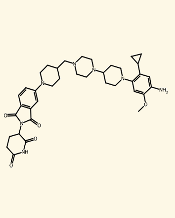 COc1cc(N2CCC(N3CCN(CC4CCN(c5ccc6c(c5)C(=O)N(C5CCC(=O)NC5=O)C6=O)CC4)CC3)CC2)c(C2CC2)cc1N